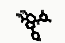 C/C(N)=C1\c2ccc(C3=CCNCC3)cc2C(Nc2cc(F)cc(Cl)c2)CCN1N